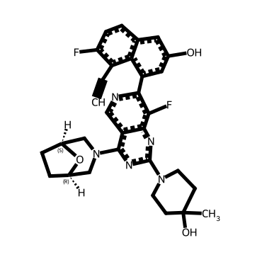 C#Cc1c(F)ccc2cc(O)cc(-c3ncc4c(N5C[C@H]6CC[C@@H](C5)O6)nc(N5CCC(C)(O)CC5)nc4c3F)c12